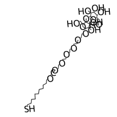 OCC1O[C@@H](O[C@@H]2C(CO)O[C@@H](OCCOCCOCCOCCOCCOCCOCCCCCCCCCCCS)C(O)C2O)C(O)C(O)[C@H]1O